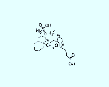 C[C@@H]1CC[C@H](CCCC(=O)O)C1(C)CC[C@H]1CC(NS(=O)(=O)O)CC2CCCCC21C